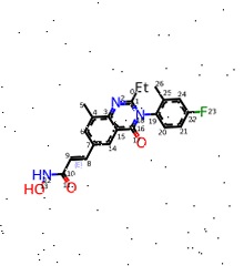 CCc1nc2c(C)cc(/C=C/C(=O)NO)cc2c(=O)n1-c1ccc(F)cc1C